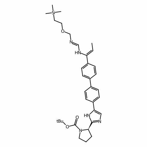 C/C=C(\N/C=N/COCC[Si](C)(C)C)c1ccc(-c2ccc(-c3cnc([C@H]4CCCN4C(=O)OC(C)(C)C)[nH]3)cc2)cc1